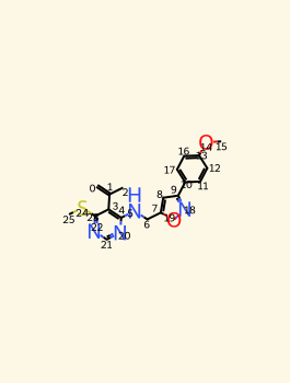 C=C(C)c1c(NCc2cc(-c3ccc(OC)cc3)no2)ncnc1SC